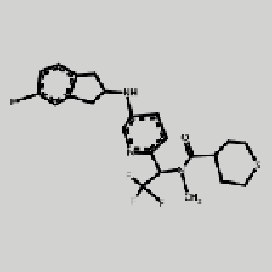 CN(C(=O)C1CCSCC1)C(c1ccc(NC2Cc3ccc(F)cc3C2)cn1)C(F)(F)F